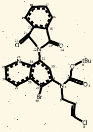 CC(C)(C)OC(=O)N(CC=CCl)c1cc(N2C(=O)c3ccccc3C2=O)c2ncccc2c1Br